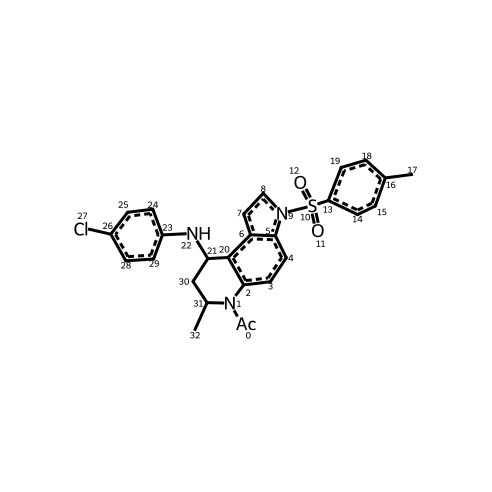 CC(=O)N1c2ccc3c(ccn3S(=O)(=O)c3ccc(C)cc3)c2C(Nc2ccc(Cl)cc2)CC1C